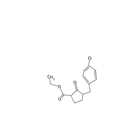 CCOC(=O)C1CCC(Cc2ccc(Cl)cc2)C1=O